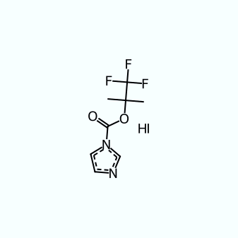 CC(C)(OC(=O)n1ccnc1)C(F)(F)F.I